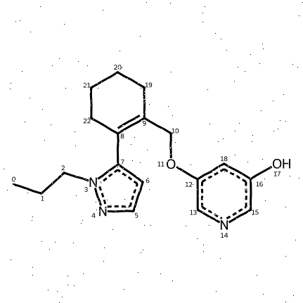 CCCn1nccc1C1=C(COc2cncc(O)c2)CCCC1